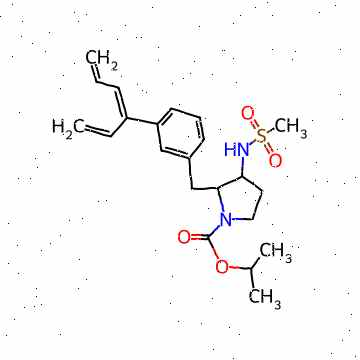 C=C/C=C(\C=C)c1cccc(CC2C(NS(C)(=O)=O)CCN2C(=O)OC(C)C)c1